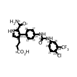 NC(=O)c1[nH]cc(CCC(=O)O)c1-c1ccc(NC(=O)Nc2ccc(Cl)c(C(F)(F)F)c2)cc1